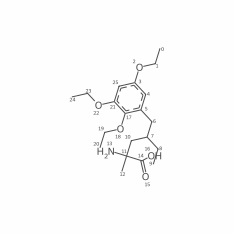 CCOc1cc(CC(CC)CC(C)(N)C(=O)O)c(OCC)c(OCC)c1